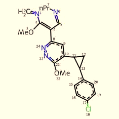 C=N/C(OC)=C(\C=N/CCC)c1cc(C2CC2c2ccc(Cl)cc2)c(OC)nn1